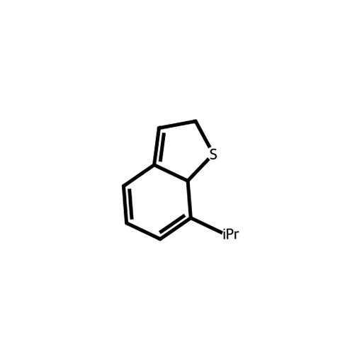 CC(C)C1=CC=CC2=CCSC21